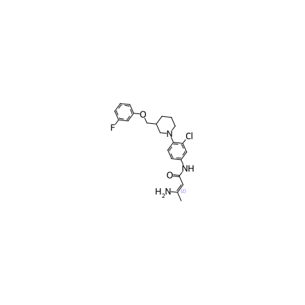 C/C(N)=C/C(=O)Nc1ccc(N2CCCC(COc3cccc(F)c3)C2)c(Cl)c1